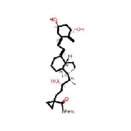 C=C1/C(=C\C=C2/CCC[C@]3(C)[C@@H]([C@H](C)[C@@H](O)CCC4(C(=O)CCCCC)CC4)CC[C@@H]23)C[C@@H](O)C[C@@H]1O